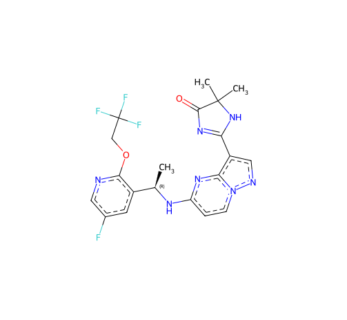 C[C@@H](Nc1ccn2ncc(C3=NC(=O)C(C)(C)N3)c2n1)c1cc(F)cnc1OCC(F)(F)F